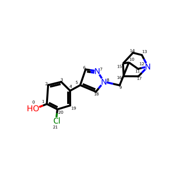 Oc1ccc(-c2cnn(CC3CN4CCC3CC4)c2)cc1Cl